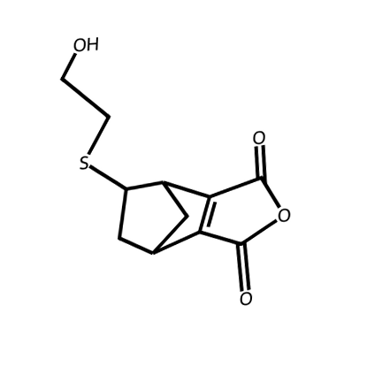 O=C1OC(=O)C2=C1C1CC(SCCO)C2C1